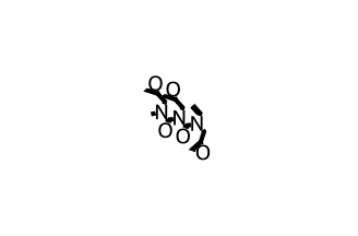 C=CN(CC1CO1)C(=O)N(CC1CO1)C(=O)N(C)CC1CO1